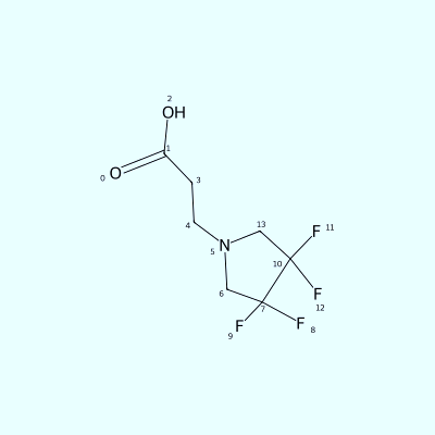 O=C(O)CCN1CC(F)(F)C(F)(F)C1